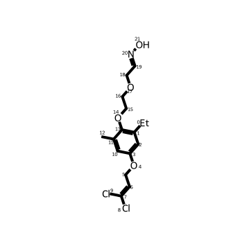 CCc1cc(OCC=C(Cl)Cl)cc(C)c1OCCOCC=NO